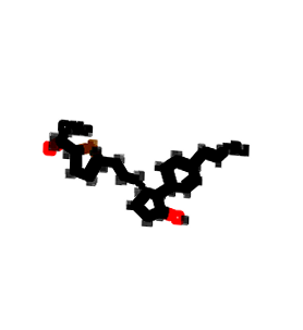 CCCCC=Cc1ccc(C2C(=O)CC[C@@H]2CCCc2ccc(C(=O)OC)s2)cc1